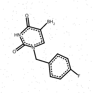 Bc1cn(Cc2ccc(F)cc2)c(=O)[nH]c1=O